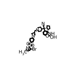 Cn1cc(Br)c(S(=O)(=O)c2ccc(N3CC(CN4CCC(C(C#N)(c5ccccc5)[C@H]5CCC[C@H]5CNC(=O)O)CC4)C3)cc2)n1